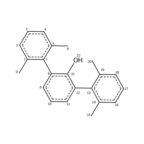 Cc1cccc(C)c1-c1cccc(-c2c(C)cccc2C)c1O